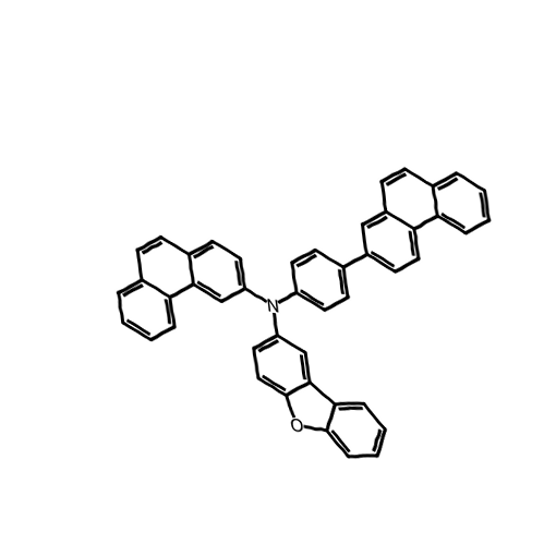 c1ccc2c(c1)ccc1cc(-c3ccc(N(c4ccc5ccc6ccccc6c5c4)c4ccc5oc6ccccc6c5c4)cc3)ccc12